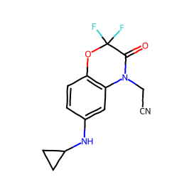 N#CCN1C(=O)C(F)(F)Oc2ccc(NC3CC3)cc21